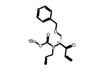 C=CCN(C(=O)OC(C)(C)C)[C@H](COCc1ccccc1)C(=O)C=C